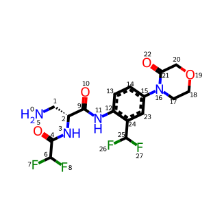 NC[C@@H](NC(=O)C(F)F)C(=O)Nc1ccc(N2CCOCC2=O)cc1C(F)F